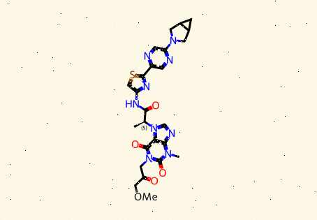 COCC(=O)Cn1c(=O)c2c(ncn2[C@@H](C)C(=O)Nc2csc(-c3cnc(N4CC5CC5C4)cn3)n2)n(C)c1=O